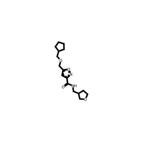 O=C(NCC1CCOC1)c1cc(COCC2CCCC2)on1